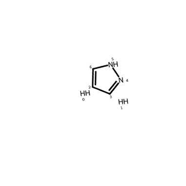 [HH].[HH].c1cn[nH]c1